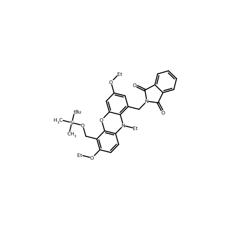 CCOc1cc(CN2C(=O)c3ccccc3C2=O)c2c(c1)Oc1c(ccc(OCC)c1CO[Si](C)(C)C(C)(C)C)N2CC